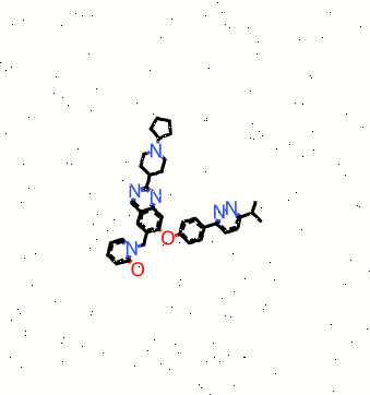 CC(C)c1ccc(-c2ccc(Oc3cc4nc(C5CCN(C6CCCC6)CC5)ncc4cc3Cn3ccccc3=O)cc2)nn1